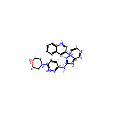 C1=C[N+]2(c3cnc4ccccc4c3)N=C(Nc3ccc(N4CCOCC4)nc3)N=C2C=N1